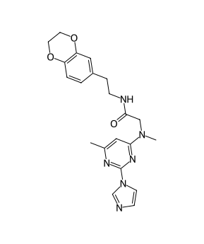 Cc1cc(N(C)CC(=O)NCCc2ccc3c(c2)OCCO3)nc(-n2ccnc2)n1